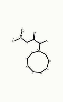 C=C(C[SiH](CC)CC)C(C)N1CCCCCCCC1